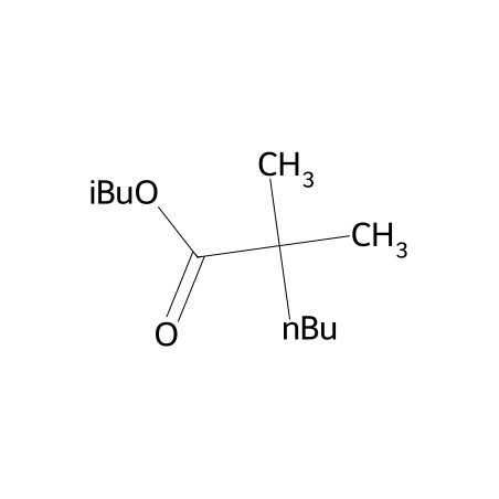 CCCCC(C)(C)C(=O)OCC(C)C